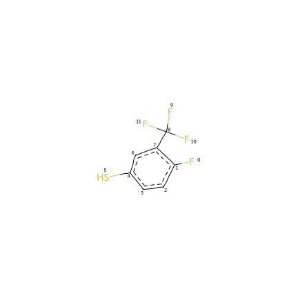 Fc1ccc(S)cc1C(F)(F)F